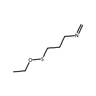 C=NCCCSOCC